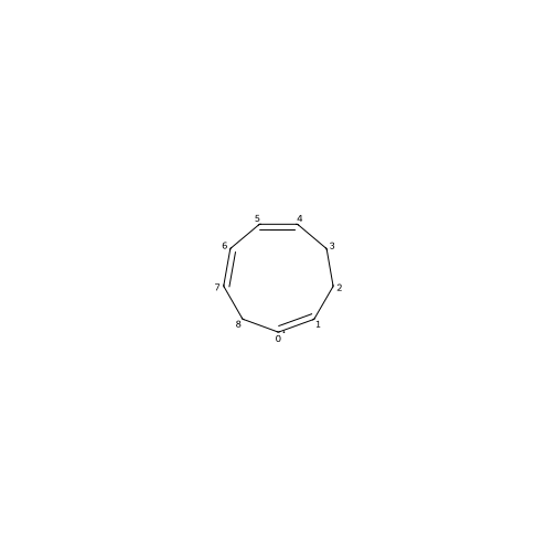 [C]1=C\CC/C=C\C=C/C/1